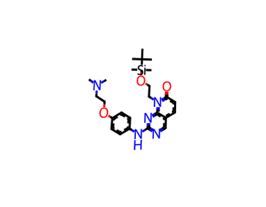 CN(C)CCOc1ccc(Nc2ncc3ccc(=O)n(CCO[Si](C)(C)C(C)(C)C)c3n2)cc1